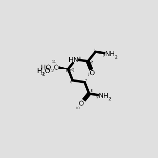 NCC(=O)N[C@@H](CCC(N)=O)C(=O)O.O